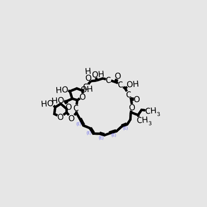 CCC(C)C1C/C=C/C=C/C=C/C=C/C=C/C(OC2CCC(O)CO2)CC2OC(O)(CC(O)C(O)CCC(=O)CC(O)CC(=O)O1)CC(O)C2C(=O)O